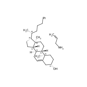 C=CCN.CC(C)CCC[C@@H](C)[C@H]1CC[C@H]2[C@@H]3CC=C4C[C@@H](O)CC[C@]4(C)[C@H]3CC[C@]12C